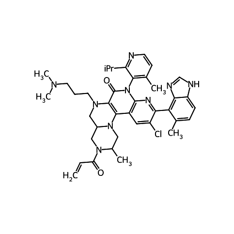 C=CC(=O)N1CC2CN(CCCN(C)C)c3c(c4cc(Cl)c(-c5c(C)ccc6[nH]cnc56)nc4n(-c4c(C)ccnc4C(C)C)c3=O)N2CC1C